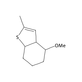 COC1CCCC2SC(C)=CC12